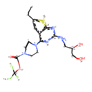 CCc1cc2c(N3CCN(C(=O)OC(F)(F)F)CC3)nc(NC[C@@H](O)CO)nc2s1